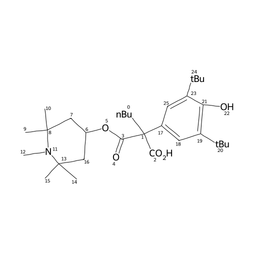 CCCCC(C(=O)O)(C(=O)OC1CC(C)(C)N(C)C(C)(C)C1)c1cc(C(C)(C)C)c(O)c(C(C)(C)C)c1